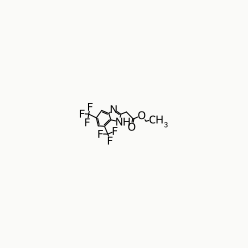 CCOC(=O)Cc1nc2cc(C(F)(F)F)cc(C(F)(F)F)c2[nH]1